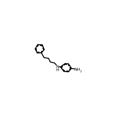 Nc1ccc(NCCCCc2ccccc2)cc1